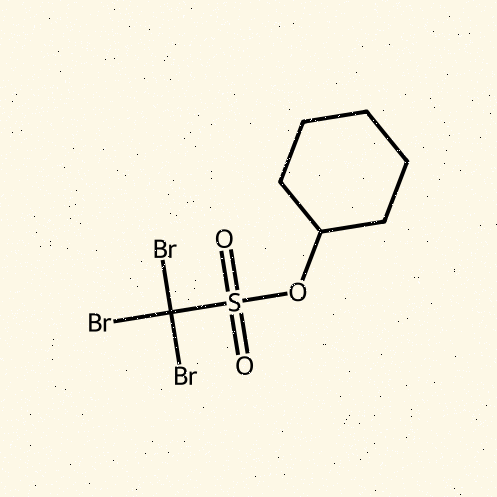 O=S(=O)(OC1CCCCC1)C(Br)(Br)Br